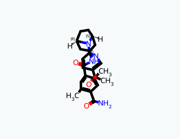 CC(=O)c1ccc(N2[C@@H]3CC[C@H]2C[C@@H](NC(=O)c2cc(C)c(C(N)=O)cc2C)C3)nc1